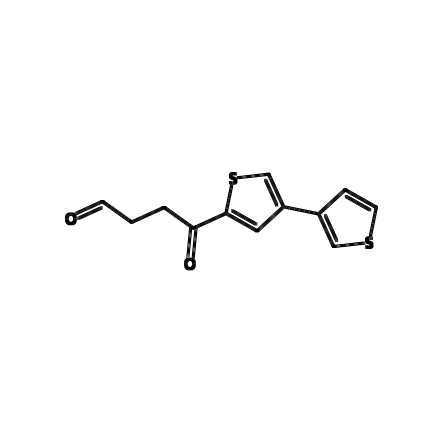 O=CCCC(=O)c1cc(-c2ccsc2)cs1